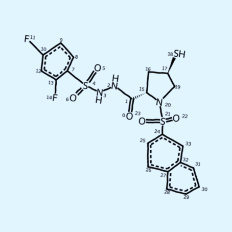 O=C(NNS(=O)(=O)c1ccc(F)cc1F)[C@@H]1C[C@@H](S)CN1S(=O)(=O)c1ccc2ccccc2c1